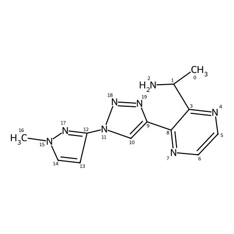 CC(N)c1nccnc1-c1cn(-c2ccn(C)n2)nn1